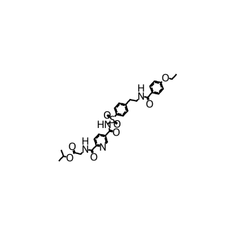 CCOc1ccc(C(=O)NCCc2ccc(S(=O)(=O)NC(=O)c3ccc(C(=O)NCC(=O)OC(C)C)nc3)cc2)cc1